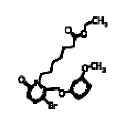 CCOC(=O)CCCCCCn1c(COc2cccc(OC)c2)c(Br)ccc1=O